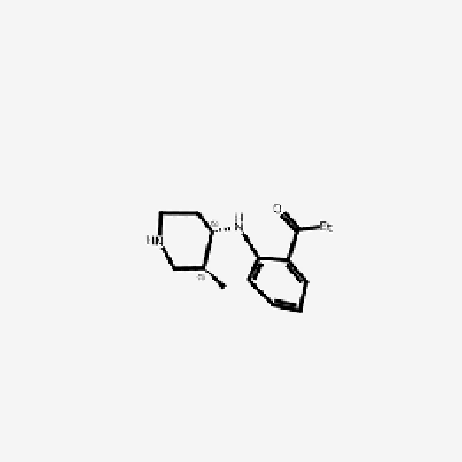 CCC(=O)c1ccccc1N[C@H]1CCNC[C@@H]1C